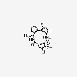 C[C@@H]1NC(=O)c2cc(Cl)c(O)c(c2)S(=O)(=O)Nc2cc(c(F)cc2F)-c2ccccc21